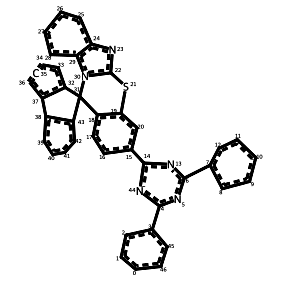 c1ccc(-c2nc(-c3ccccc3)nc(-c3ccc4c(c3)Sc3nc5ccccc5n3C43c4ccccc4-c4ccccc43)n2)cc1